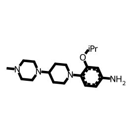 CC(C)Oc1cc(N)ccc1N1CCC(N2CCN(C)CC2)CC1